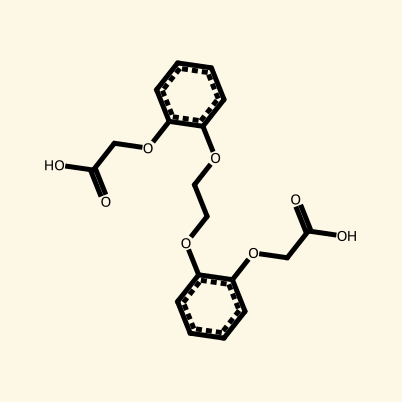 O=C(O)COc1ccccc1OCCOc1ccccc1OCC(=O)O